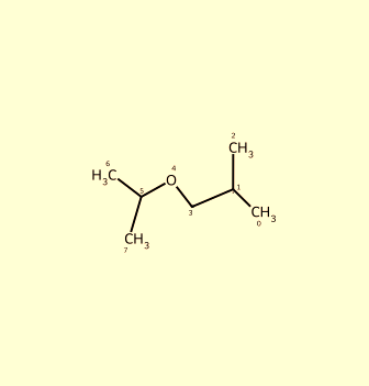 C[C](C)COC(C)C